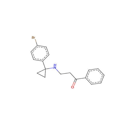 O=C(CCNC1(c2ccc(Br)cc2)CC1)c1ccccc1